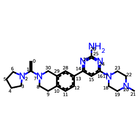 C=C(N1CCCC1)N1CCc2ccc(-c3cc(N4CCN(C)CC4)nc(N)n3)cc2C1